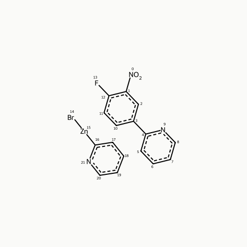 O=[N+]([O-])c1cc(-c2ccccn2)ccc1F.[Br][Zn][c]1ccccn1